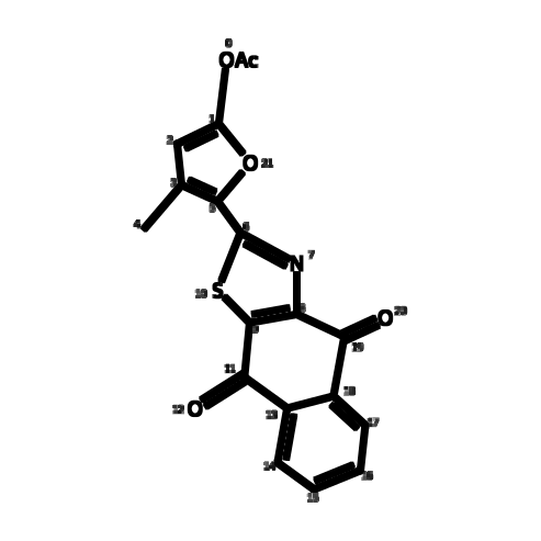 CC(=O)Oc1cc(C)c(-c2nc3c(s2)C(=O)c2ccccc2C3=O)o1